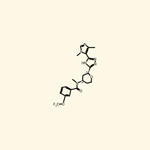 Cc1ncn(C)c1-c1nnc([C@@H]2C[C@H](N(C)C(=O)c3cccc(OC(F)(F)F)c3)CCO2)[nH]1